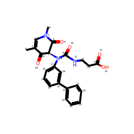 CC1=CN(C)C(=O)[C@@H](N(C(=O)NCCC(=O)O)c2cccc(-c3ccccc3)c2)C1=O